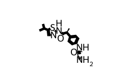 CC(C)c1cnc(NC(=O)[C@@H](C)c2ccc(NC(=O)CN)cc2)s1